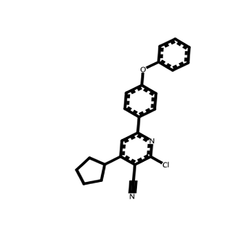 N#Cc1c(C2CCCC2)cc(-c2ccc(Oc3ccccc3)cc2)nc1Cl